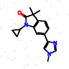 Cn1cnc(-c2ccc3c(c2)N(C2CC2)C(=O)C3(C)C)c1